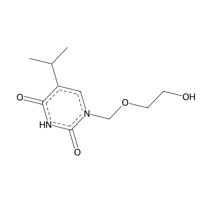 CC(C)c1cn(COCCO)c(=O)[nH]c1=O